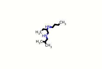 CCCCNC(CC)CNCC(C)C